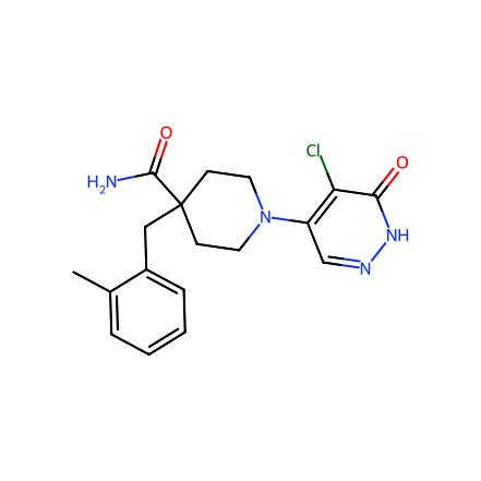 Cc1ccccc1CC1(C(N)=O)CCN(c2cn[nH]c(=O)c2Cl)CC1